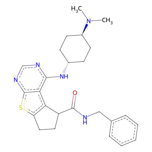 CN(C)[C@H]1CC[C@H](Nc2ncnc3sc4c(c23)C(C(=O)NCc2ccccc2)CC4)CC1